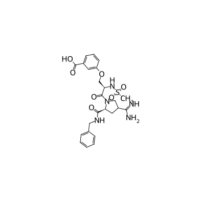 CS(=O)(=O)N[C@H](COc1cccc(C(=O)O)c1)C(=O)N1CC(C(=N)N)C[C@H]1C(=O)NCc1ccccc1